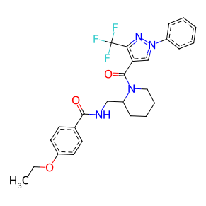 CCOc1ccc(C(=O)NCC2CCCCN2C(=O)c2cn(-c3ccccc3)nc2C(F)(F)F)cc1